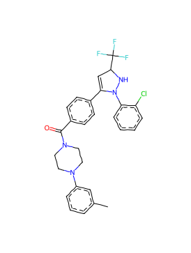 Cc1cccc(N2CCN(C(=O)c3ccc(C4=CC(C(F)(F)F)NN4c4ccccc4Cl)cc3)CC2)c1